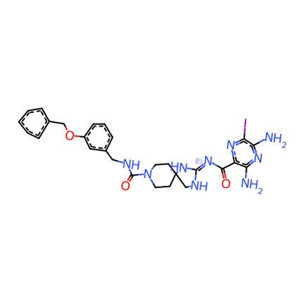 Nc1nc(N)c(C(=O)/N=C2\NCC3(CCN(C(=O)NCc4cccc(OCc5ccccc5)c4)CC3)N2)nc1I